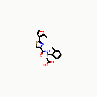 Cc1ccccc1[C@H](CC(=O)O)NC(=O)c1csc(-c2ccoc2C)n1